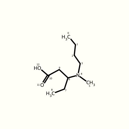 CCCCN(C)C(CC)CC(=O)O